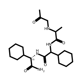 CC(=O)CNC(C)C(=O)NC(C(=O)N[C@H](C(N)=O)C1CCCCC1)C1CCCCC1